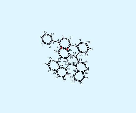 c1ccc(-c2ccc(-c3ccccc3-c3c4ccccc4c(-c4cccc5ccccc45)c4c3cnc3ccccc34)cc2)cc1